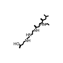 C=C(O)CCNCCNCCNC(=C)CCC(NCC)C(=C)CC(C)C